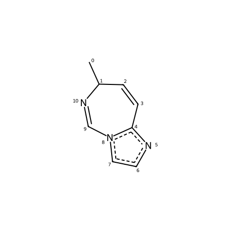 CC1C=Cc2nccn2C=N1